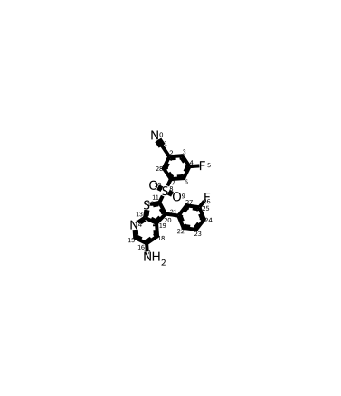 N#Cc1cc(F)cc(S(=O)(=O)c2sc3ncc(N)cc3c2-c2cccc(F)c2)c1